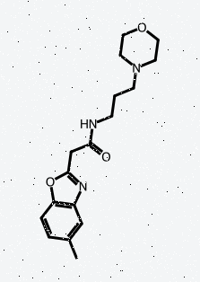 Cc1ccc2oc(CC(=O)NCCCN3CCOCC3)nc2c1